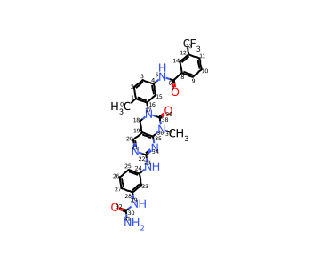 Cc1ccc(NC(=O)c2cccc(C(F)(F)F)c2)cc1N1Cc2cnc(Nc3cccc(NC(N)=O)c3)nc2N(C)C1=O